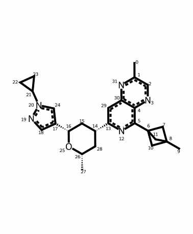 Cc1cnc2c(C34CC(C)(C3)C4)nc([C@H]3C[C@@H](c4cnn(C5CC5)c4)O[C@@H](C)C3)cc2n1